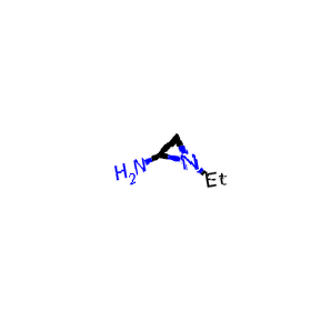 CCN1CC1N